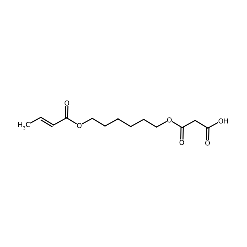 CC=CC(=O)OCCCCCCOC(=O)CC(=O)O